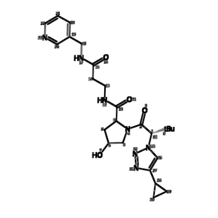 CC(C)(C)[C@@H](C(=O)N1CC(O)CC1C(=O)NCCC(=O)NCc1cccnc1)n1cc(C2CC2)nn1